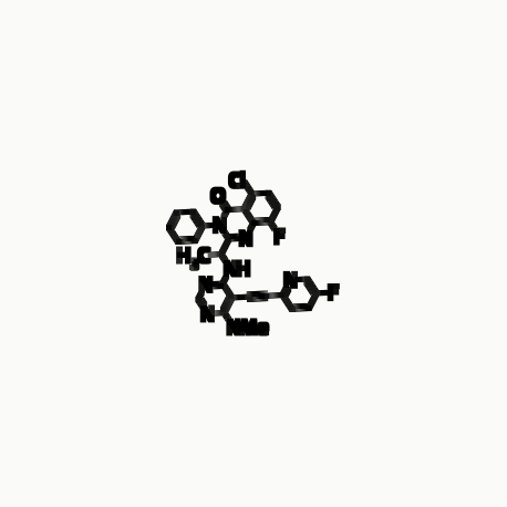 CNc1ncnc(NC(C)c2nc3c(F)ccc(Cl)c3c(=O)n2-c2ccccc2)c1C#Cc1ccc(F)cn1